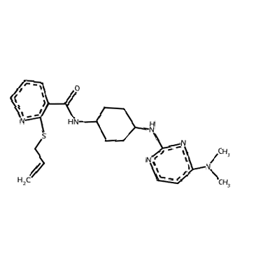 C=CCSc1ncccc1C(=O)NC1CCC(Nc2nccc(N(C)C)n2)CC1